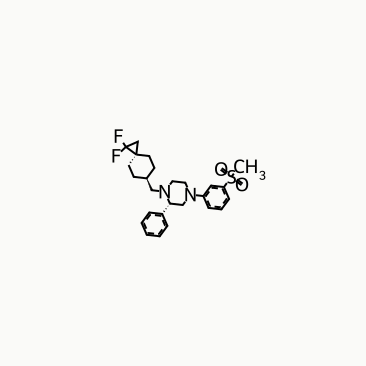 CS(=O)(=O)c1cccc(N2CCN(C[C@H]3CC[C@@]4(CC3)CC4(F)F)[C@@H](c3ccccc3)C2)c1